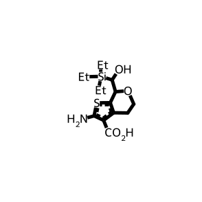 CC[Si](CC)(CC)C(O)C1OCCc2c1sc(N)c2C(=O)O